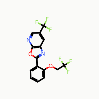 FC(F)(F)COc1ccccc1-c1nc2cc(C(F)(F)F)cnc2o1